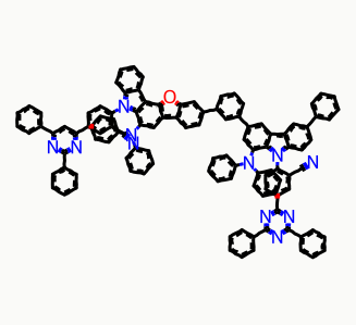 N#Cc1cc(-c2nc(-c3ccccc3)nc(-c3ccccc3)n2)ccc1-n1c2ccc(-c3ccccc3)cc2c2cc(-c3cccc(-c4ccc5c(c4)oc4c5cc(N(c5ccccc5)c5ccccc5)c5c4c4ccccc4n5-c4ccc(-c5cc(-c6ccccc6)nc(-c6ccccc6)n5)cc4C#N)c3)cc(N(c3ccccc3)c3ccccc3)c21